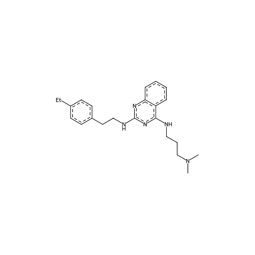 CCc1ccc(CCNc2nc(NCCCN(C)C)c3ccccc3n2)cc1